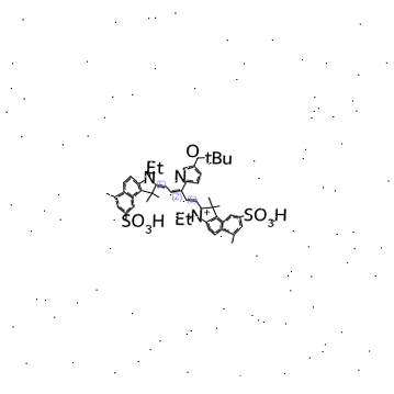 CCN1/C(=C/C=C(/C=C/C2=[N+](CC)c3ccc4c(C)cc(S(=O)(=O)O)cc4c3C2(C)C)c2ccc(C(=O)C(C)(C)C)cn2)C(C)(C)c2c1ccc1c(C)cc(S(=O)(=O)O)cc21